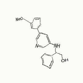 COc1cccc(-c2cncc(NC(CO)c3ccccc3)c2)c1